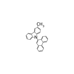 Cc1ccc2c(c1)c1ccccc1n2-c1cc2ccccc2c2ccccc12